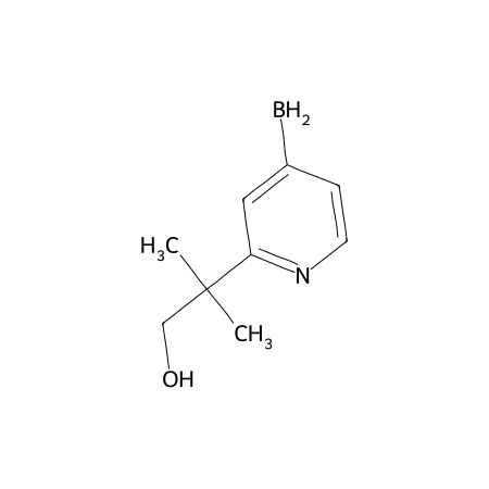 Bc1ccnc(C(C)(C)CO)c1